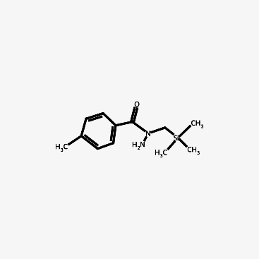 Cc1ccc(C(=O)N(N)C[Si](C)(C)C)cc1